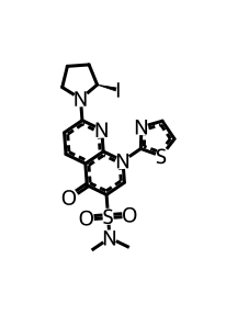 CN(C)S(=O)(=O)c1cn(-c2nccs2)c2nc(N3CCC[C@H]3I)ccc2c1=O